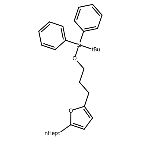 CCCCCCCc1ccc(CCCO[Si](c2ccccc2)(c2ccccc2)C(C)(C)C)o1